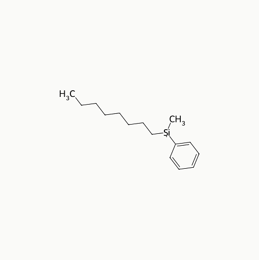 CCCCCCCC[Si](C)c1ccccc1